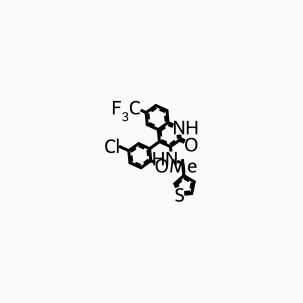 COc1ccc(Cl)cc1-c1c(NCc2ccsc2)c(=O)[nH]c2ccc(C(F)(F)F)cc12